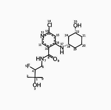 CC(C)(O)C(F)CNC(=O)c1cnc(Cl)cc1N[C@H]1CCC[C@@H](O)C1